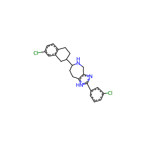 Clc1cccc(-c2nc3c([nH]2)CCC(C2CCc4ccc(Cl)cc4C2)NC3)c1